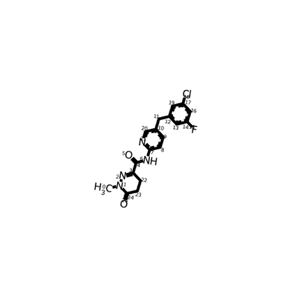 CN1N=C(C(=O)Nc2ccc(Cc3cc(F)cc(Cl)c3)cn2)CCC1=O